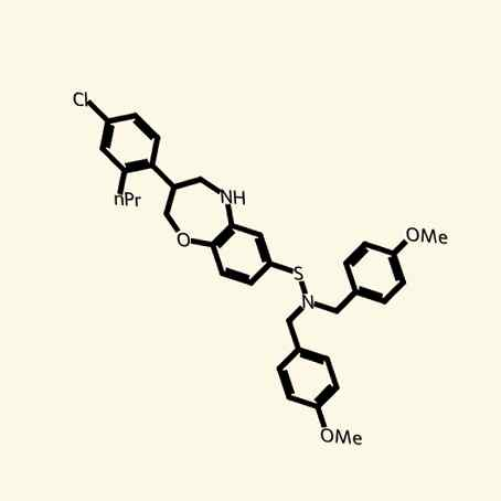 CCCc1cc(Cl)ccc1C1CNc2cc(SN(Cc3ccc(OC)cc3)Cc3ccc(OC)cc3)ccc2OC1